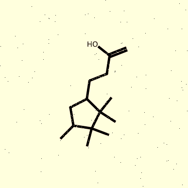 C=C(O)CCC1CC(C)C(C)(C)C1(C)C